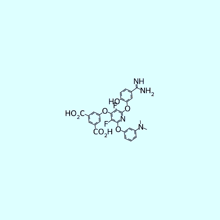 CN(C)c1cccc(Oc2nc(Oc3cc(C(=N)N)ccc3O)c(F)c(Oc3cc(C(=O)O)cc(C(=O)O)c3)c2F)c1